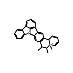 CC1c2cc3c(cc2C2C=CC=C[N+]2(C)C1C)c1cccc2c4ccccc4n3c21